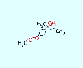 CCCC(C)(O)c1ccc(OCOCC)cc1